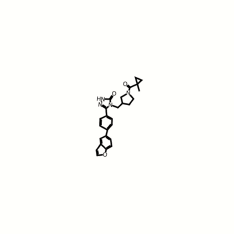 CC1(C(=O)N2CCC(Cn3c(-c4ccc(-c5ccc6occc6c5)cc4)n[nH]c3=O)C2)CC1